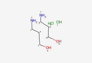 Cl.Cl.NCCCO.NCCCO